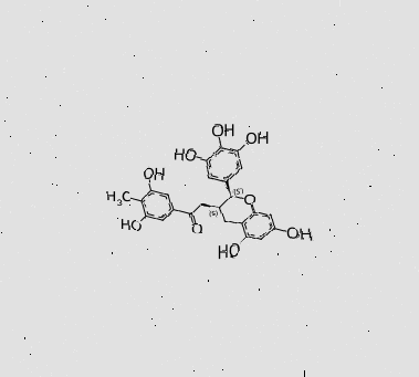 Cc1c(O)cc(C(=O)C[C@@H]2Cc3c(O)cc(O)cc3O[C@@H]2c2cc(O)c(O)c(O)c2)cc1O